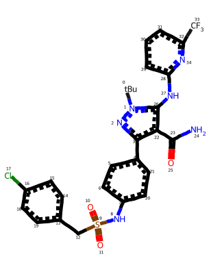 CC(C)(C)n1nc(-c2ccc(NS(=O)(=O)Cc3ccc(Cl)cc3)cc2)c(C(N)=O)c1Nc1cccc(C(F)(F)F)n1